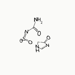 NC(=O)N=S(=O)=O.O=C1CNC=N1